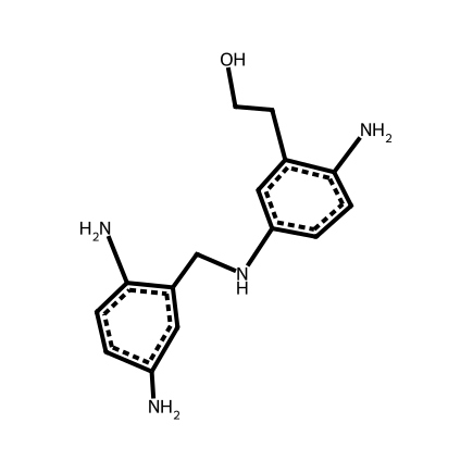 Nc1ccc(N)c(CNc2ccc(N)c(CCO)c2)c1